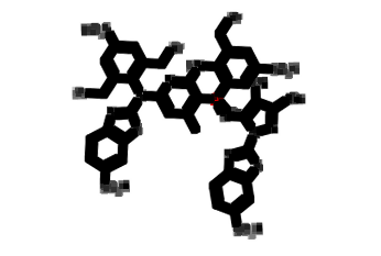 Cc1cc(N(c2nc3ccc(S(=O)(=O)O)cc3s2)c2c(CC(C)C)cc(S(=O)(=O)O)cc2CC(C)C)nc(Nc2c(CC(C)C)cc(S(=O)(=O)O)cc2CC(C)C)c1N=Nc1c(C#N)c(C(C)(C)C)nn1-c1nc2ccc(S(=O)(=O)O)cc2s1